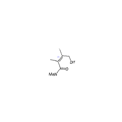 CNC(=O)/C(C)=C(/C)CO